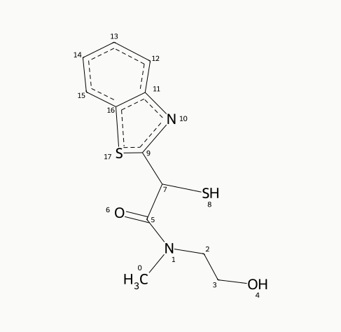 CN(CCO)C(=O)C(S)c1nc2ccccc2s1